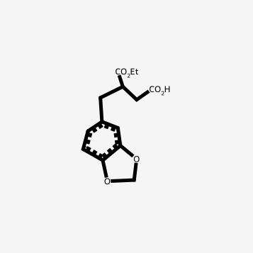 CCOC(=O)C(CC(=O)O)Cc1ccc2c(c1)OCO2